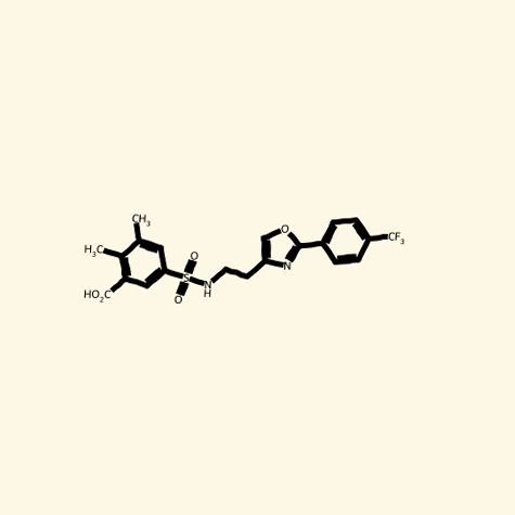 Cc1cc(S(=O)(=O)NCCc2coc(-c3ccc(C(F)(F)F)cc3)n2)cc(C(=O)O)c1C